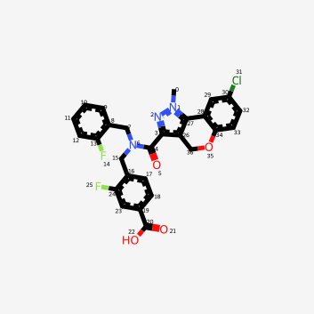 Cn1nc(C(=O)N(Cc2ccccc2F)Cc2ccc(C(=O)O)cc2F)c2c1-c1cc(Cl)ccc1OC2